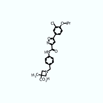 CC(C)Oc1ccc(-c2cc(C(=O)Nc3ccc(CN4CC(C)(C(=O)O)C4)cc3)no2)cc1Cl